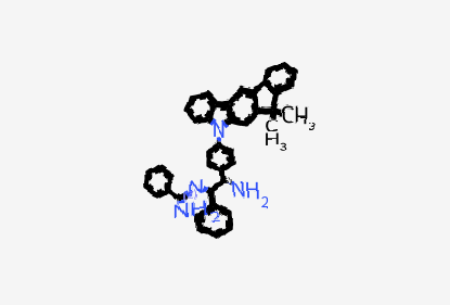 CC1(C)c2ccccc2-c2cc3c4ccccc4n(-c4ccc([C@H](N)C(/N=C(\N)c5ccccc5)c5ccccc5)cc4)c3cc21